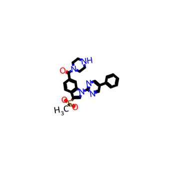 CS(=O)(=O)c1cn(-c2ncc(-c3ccccc3)cn2)c2cc(C(=O)N3CCNCC3)ccc12